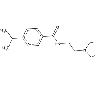 CC(C)c1ccc(C(=O)NCCN2CCCC2)cc1